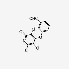 O=Cc1cccc(Oc2c(Cl)c(Cl)nc(Cl)c2Cl)c1